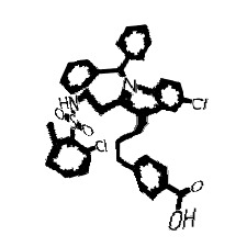 Cc1cccc(Cl)c1S(=O)(=O)NCCc1c(CCCc2ccc(C(=O)O)cc2)c2cc(Cl)ccc2n1C(c1ccccc1)c1ccccc1